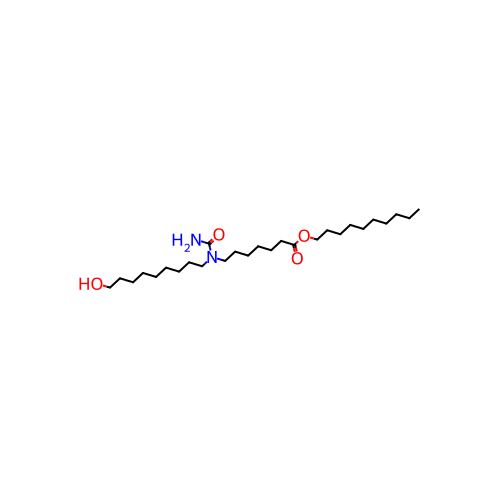 CCCCCCCCCCOC(=O)CCCCCCN(CCCCCCCCCO)C(N)=O